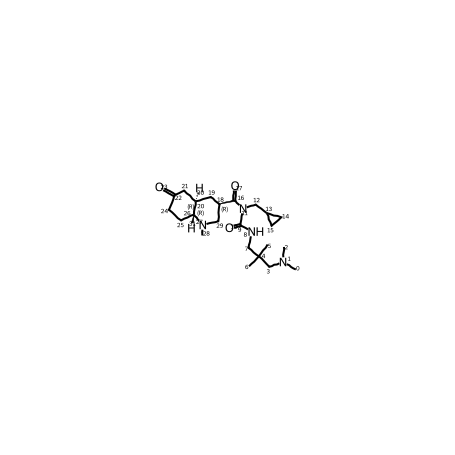 CN(C)CC(C)(C)CNC(=O)N(CC1CC1)C(=O)[C@@H]1C[C@@H]2CC(=O)CC[C@H]2N(C)C1